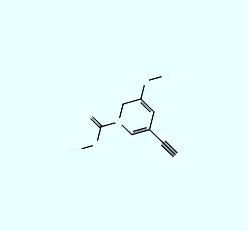 [C]#CC1=CN(C(=O)OC(C)(C)C)CC(OC(C)C)=C1